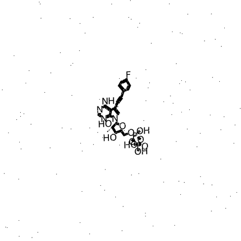 C[C@@]1(O)C(O)C(COP(=O)(O)OP(=O)(O)O)OC1n1cc(C#Cc2ccc(F)cc2)c2c(N)ncnc21